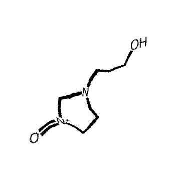 O=[N+]1CCN(CCO)C1